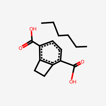 CCCCCC.O=C(O)c1ccc(C(=O)O)c2c1CC2